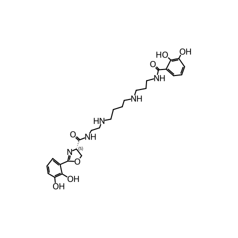 O=C(NCCCNCCCCNCCNC(=O)[C@@H]1COC(c2cccc(O)c2O)=N1)c1cccc(O)c1O